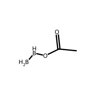 BBOC(C)=O